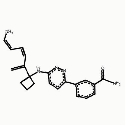 C=C(/C=C\C=C/N)C1(Nc2ccc(-c3cccc(C(N)=O)c3)nn2)CCC1